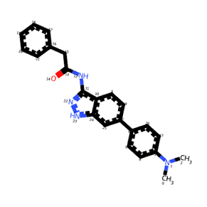 CN(C)c1ccc(-c2ccc3c(NC(=O)Cc4ccccc4)n[nH]c3c2)cc1